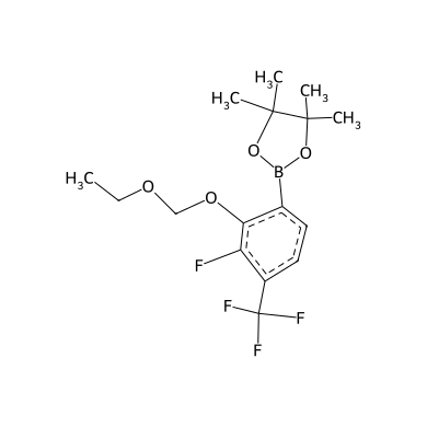 CCOCOc1c(B2OC(C)(C)C(C)(C)O2)ccc(C(F)(F)F)c1F